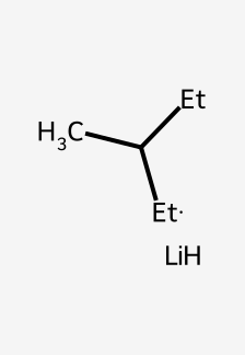 C[CH]C(C)CC.[LiH]